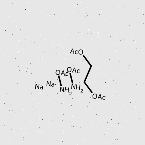 CC(=O)OCCOC(C)=O.CC(=O)ON.CC(=O)ON.[Na].[Na]